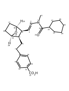 CN(N=C[C@H]1[C@@H](CCc2ccc(C(=O)O)cc2)[C@H]2CC[C@@H]1O2)C(=O)C1CCCCC1